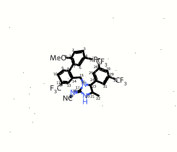 COc1ccc(C(C)C)cc1-c1ccc(C(F)(F)F)cc1CN1C(=NC#N)NC(C)C1c1cc(C(F)(F)F)cc(C(F)(F)F)c1